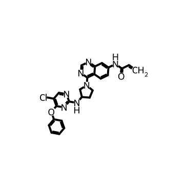 C=CC(=O)Nc1ccc2c(N3CCC(Nc4ncc(Cl)c(Oc5ccccc5)n4)C3)ncnc2c1